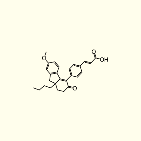 CCCCC12CCC(=O)C(c3ccc(C=CC(=O)O)cc3)=C1c1ccc(OC)cc1C2